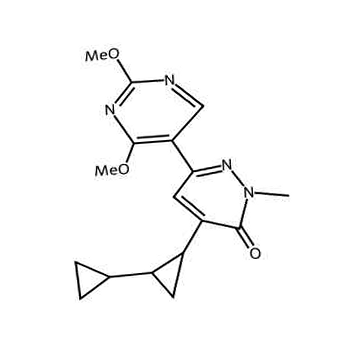 COc1ncc(-c2cc(C3CC3C3CC3)c(=O)n(C)n2)c(OC)n1